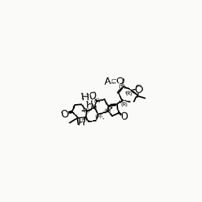 CC(=O)O[C@@H](C[C@@H](C)C1=C2C[C@H](O)[C@H]3[C@@]4(C)CCC(=O)C(C)(C)[C@@H]4CC[C@]3(C)[C@@]2(C)CC1=O)[C@H]1OC1(C)C